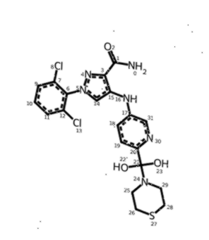 NC(=O)c1nn(-c2c(Cl)cccc2Cl)cc1Nc1ccc(C(O)(O)N2CCSCC2)nc1